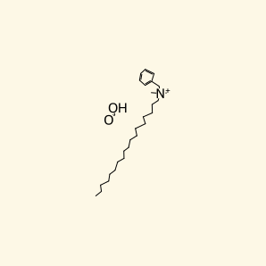 CCCCCCCCCCCCCCCCCC[N+](C)(C)Cc1ccccc1.O=CO